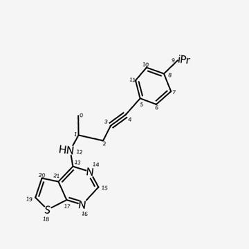 CC(CC#Cc1ccc(C(C)C)cc1)Nc1ncnc2sccc12